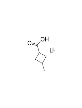 CC1CC(C(=O)O)C1.[Li]